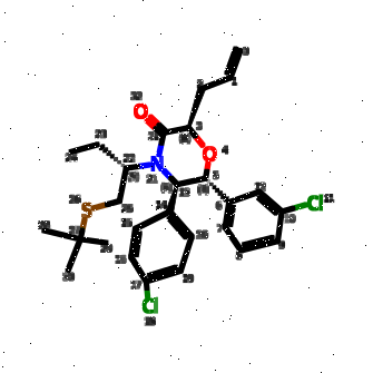 C=CC[C@H]1O[C@H](c2cccc(Cl)c2)[C@@H](c2ccc(Cl)cc2)N([C@@H](CC)CSC(C)(C)C)C1=O